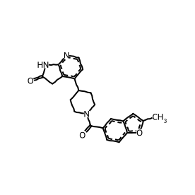 Cc1cc2cc(C(=O)N3CCC(c4ccnc5c4CC(=O)N5)CC3)ccc2o1